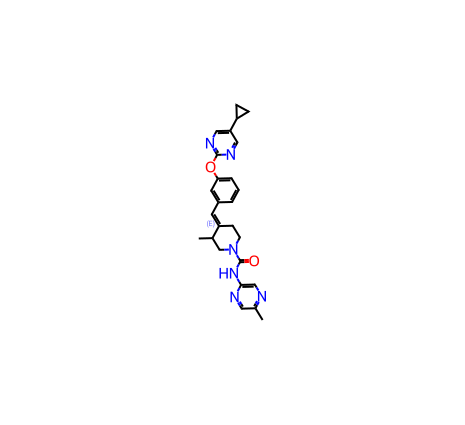 Cc1cnc(NC(=O)N2CC/C(=C\c3cccc(Oc4ncc(C5CC5)cn4)c3)C(C)C2)cn1